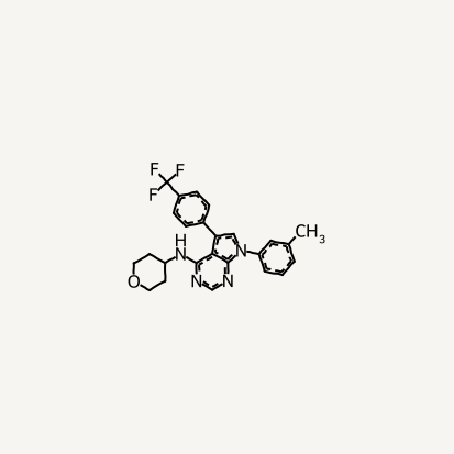 Cc1cccc(-n2cc(-c3ccc(C(F)(F)F)cc3)c3c(NC4CCOCC4)ncnc32)c1